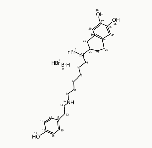 Br.Br.CCCN(CCCCCCNCCc1ccc(O)cc1)C1CCc2cc(O)c(O)cc2C1